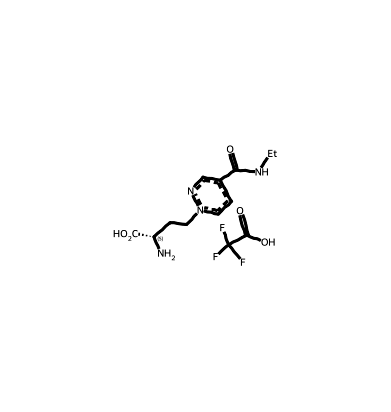 CCNC(=O)c1cc[n+](CC[C@H](N)C(=O)O)nc1.O=C(O)C(F)(F)F